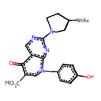 CC(=O)NC1CCN(c2ncc3c(=O)c(C(=O)O)cn(-c4ccc(O)cc4)c3n2)C1